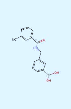 N#Cc1cccc(C(=O)NCc2cccc(B(O)O)c2)c1